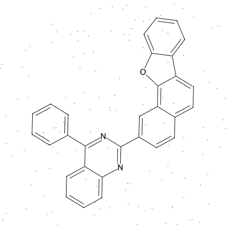 c1ccc(-c2nc(-c3ccc4ccc5c6ccccc6oc5c4c3)nc3ccccc23)cc1